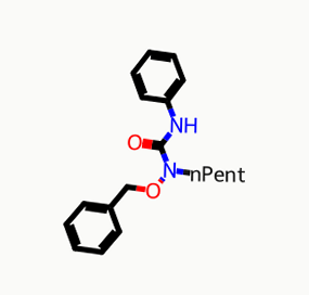 CCCCCN(OCc1ccccc1)C(=O)Nc1ccccc1